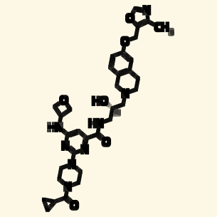 Cc1ncoc1COc1ccc2c(c1)CCN(C[C@@H](O)CNC(=O)c1cc(NC3COC3)nc(N3CCN(C(=O)C4CC4)CC3)n1)C2